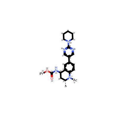 CC(=O)N1c2ccc(-c3cnc(N4CCCCC4)nc3)cc2C(NC(=O)OC(C)C)C[C@H]1C